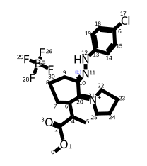 COC(=O)C(C)C1CCC/C(=N\Nc2ccc(Cl)cc2)C1=[N+]1CCCC1.F[B-](F)(F)F